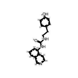 O=C(NCCc1ccc(O)cc1)Nc1cccc2cnccc12